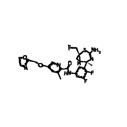 Cc1cc(OCc2ncco2)cnc1C(=O)Nc1cc(F)c(F)c([C@]2(C)N=C(N)S[C@@]3(CF)C[C@H]32)c1